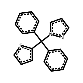 c1ccc(C(c2ccccc2)(c2cccs2)n2cccn2)cc1